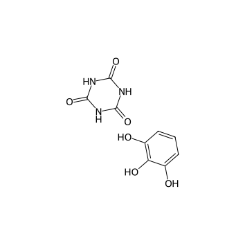 O=c1[nH]c(=O)[nH]c(=O)[nH]1.Oc1cccc(O)c1O